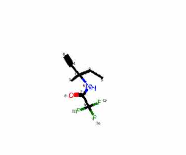 C#CC(C)(CC)NC(=O)C(F)(F)F